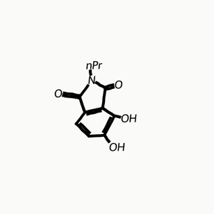 CCCN1C(=O)c2ccc(O)c(O)c2C1=O